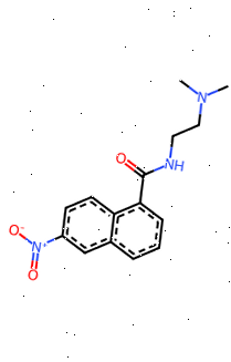 CN(C)CCNC(=O)c1cccc2cc([N+](=O)[O-])ccc12